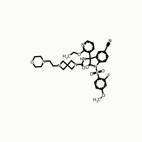 CCOc1ncccc1C1(NC(=O)N2CC3(CN(CCN4CCOCC4)C3)C2)C(=O)N(S(=O)(=O)c2ccc(OC)cc2F)c2ccc(C#N)cc21